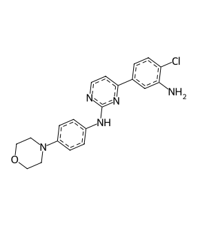 Nc1cc(-c2ccnc(Nc3ccc(N4CCOCC4)cc3)n2)ccc1Cl